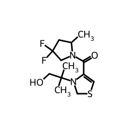 CC1CC(F)(F)CN1C(=O)C1=CSCN1C(C)(C)CO